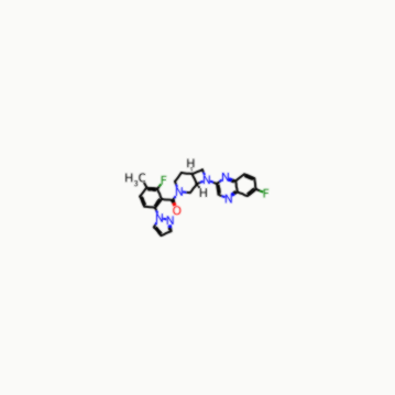 Cc1ccc(-n2cccn2)c(C(=O)N2CC[C@H]3CN(c4cnc5cc(F)ccc5n4)[C@@H]3C2)c1F